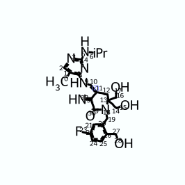 Cc1cnc(NC(C)C)nc1N/C=C1/CC(CO)(CO)N(Cc2cc(F)ccc2CO)C(=O)C1=N